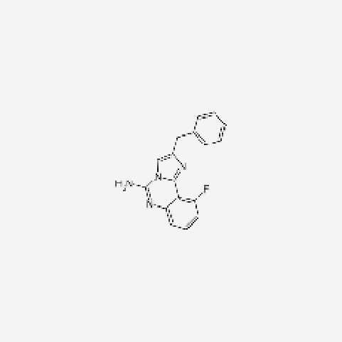 Nc1nc2cccc(F)c2c2nc(Cc3ccccc3)cn12